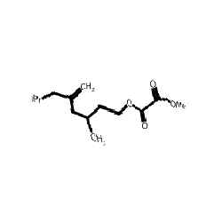 C=C(CC(C)C)CC(C)CCOC(=O)C(=O)OC